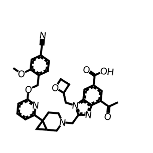 COc1cc(C#N)ccc1COc1cccc(C23CCN(Cc4nc5c(C(C)=O)cc(C(=O)O)cc5n4CC4CCO4)CC2C3)n1